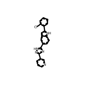 Clc1ccccc1-c1cc2cc(-c3nc(-c4cccnc4)n[nH]3)ccc2[nH]1